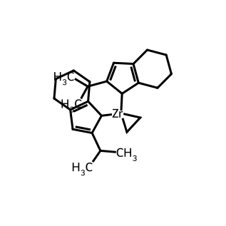 CC(C)C1=CC2=C(CCCC2)[CH]1[Zr]1([CH]2C(C(C)C)=CC3=C2CCCC3)[CH2][CH2]1